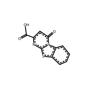 O=C(O)c1cc(=O)n2c(n1)sc1ccccc12